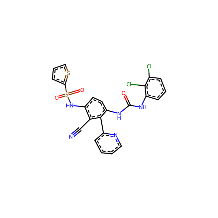 N#Cc1c(NS(=O)(=O)c2cccs2)ccc(NC(=O)Nc2cccc(Cl)c2Cl)c1-c1ccccn1